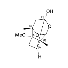 CO[C@]12C[C@H]3[C@@]4(O)C[C@]1(C)OC(O4)[C@]32C